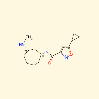 CN[C@H]1CCCC[C@@H](NC(=O)c2cc(C3CC3)on2)C1